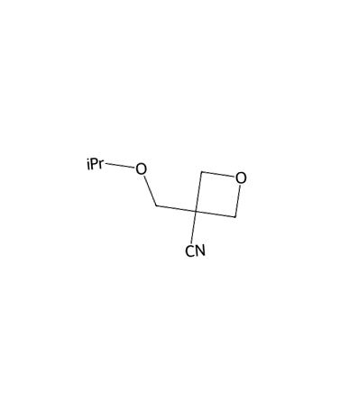 CC(C)OCC1(C#N)COC1